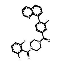 Cc1cc(C(=O)N2CCN(C(=O)c3c(F)cccc3F)CC2)ccc1-c1cccc2cccnc12